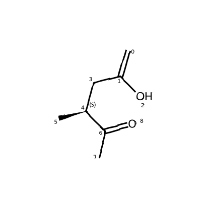 C=C(O)C[C@H](C)C(C)=O